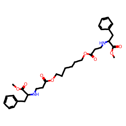 COC(=O)C(Cc1ccccc1)NCCC(=O)OCCCCCCOC(=O)CCNC(Cc1ccccc1)C(=O)OC